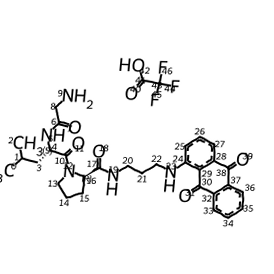 CC(C)C[C@H](NC(=O)CN)C(=O)N1CCC[C@@H]1C(=O)NCCCNc1cccc2c1C(=O)c1ccccc1C2=O.O=C(O)C(F)(F)F